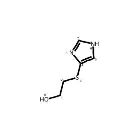 OCCSc1c[nH]cn1